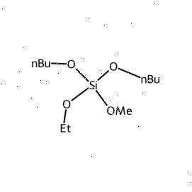 CCCCO[Si](OC)(OCC)OCCCC